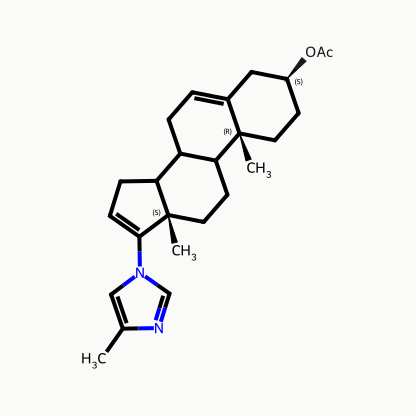 CC(=O)O[C@H]1CC[C@@]2(C)C(=CCC3C2CC[C@]2(C)C(n4cnc(C)c4)=CCC32)C1